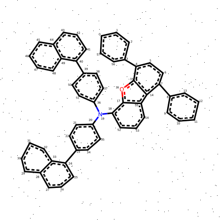 c1ccc(-c2ccc(-c3ccccc3)c3c2oc2c(N(c4ccc(-c5cccc6ccccc56)cc4)c4ccc(-c5cccc6ccccc56)cc4)cccc23)cc1